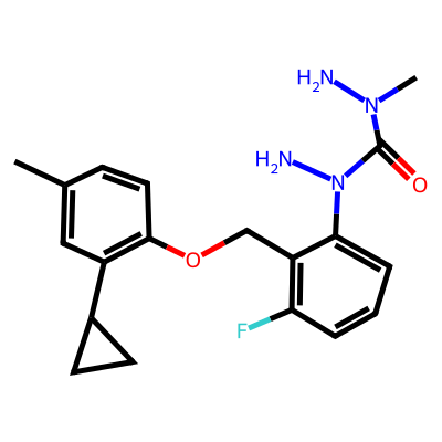 Cc1ccc(OCc2c(F)cccc2N(N)C(=O)N(C)N)c(C2CC2)c1